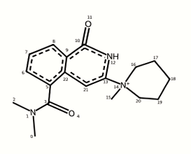 CN(C)C(=O)c1cccc2c(=O)[nH]c([N+]3(C)CCCCC3)cc12